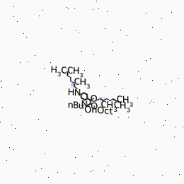 CCCCCCCCOc1c(OC/C=C(\C)CCC=C(C)C)c2ccc(NC/C=C(\C)CCC=C(C)C)cc2n(CCCC)c1=O